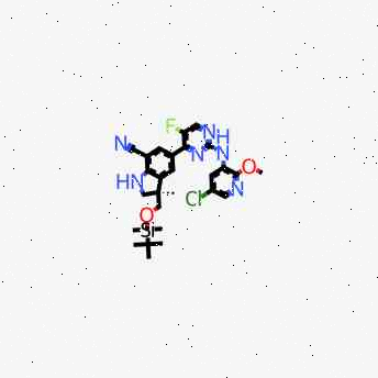 COc1ncc(Cl)cc1Nc1ncc(F)c(-c2cc(C#N)c3c(c2)[C@@](C)(CO[Si](C)(C)C(C)(C)C)CN3)n1